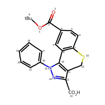 CC(C)(C)OC(=O)c1ccc2c(c1)-c1c(c(C(=O)O)nn1-c1ccccc1)CS2